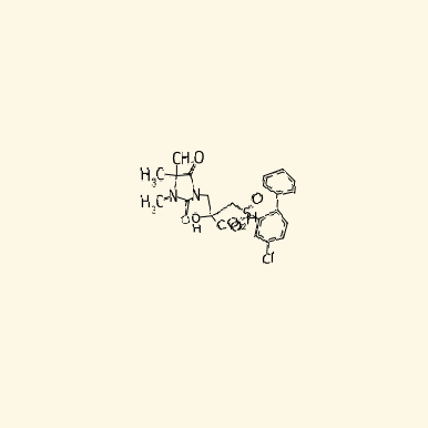 CN1C(=O)N(CC(O)(CS(=O)(=O)c2cc(Cl)ccc2-c2ccccc2)C(=O)O)C(=O)C1(C)C